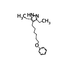 CCc1n[nH]c(CC)c1CCCCCCOc1ccccc1